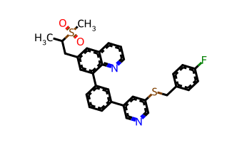 CC(Cc1cc(-c2cccc(-c3cncc(SCc4ccc(F)cc4)c3)c2)c2ncccc2c1)S(C)(=O)=O